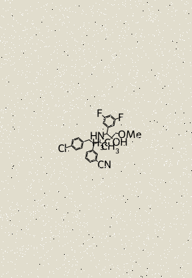 COC[C@@](C)(O)C(N[C@@H](C)C(Cc1ccc(Cl)cc1)c1cccc(C#N)c1)c1cc(F)cc(F)c1